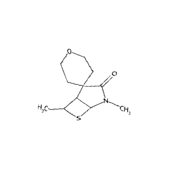 CC1SC2C1C1(CCOCC1)C(=O)N2C